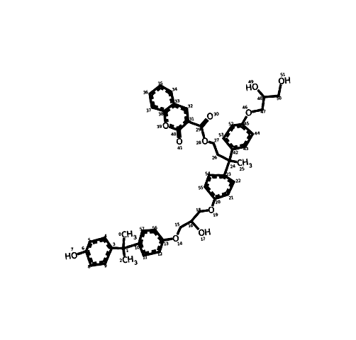 CC(C)(c1ccc(O)cc1)c1ccc(OCC(O)COc2ccc(C(C)(CCOC(=O)c3cc4ccccc4oc3=O)c3ccc(OCC(O)CO)cc3)cc2)cc1